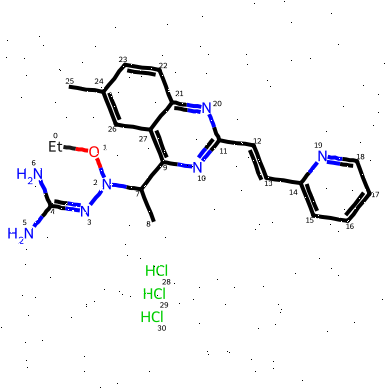 CCON(N=C(N)N)C(C)c1nc(/C=C/c2ccccn2)nc2ccc(C)cc12.Cl.Cl.Cl